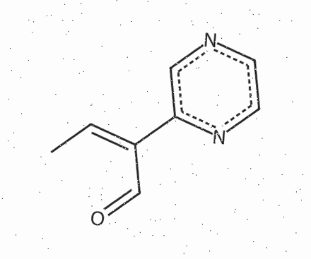 CC=C(C=O)c1cnccn1